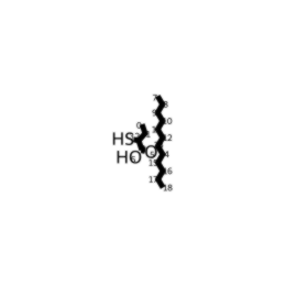 CCC(S)C(=O)O.CCCCCCCCCCCC